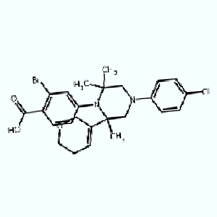 CC1(C)CN(c2ccc(Cl)cc2)CC(C)(C2=CCCOC2)N1c1ccc(C(=O)O)c(Br)c1